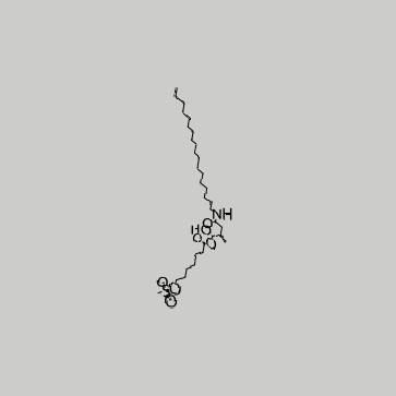 C=C(CC(=O)NCCCCCCCCCCCCCCCCCC)C(O)OC(=O)CCCCCCOS(C)(=O)=O